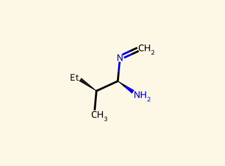 C=N[C@@H](N)[C@@H](C)CC